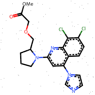 COC(=O)COCC1CCCN1c1cc(-n2ccnc2)c2ccc(Cl)c(Cl)c2n1